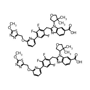 COc1nnc(COc2cccc(-c3cc(F)c(Cc4nc5ccc(C(=O)O)cc5n4C4COCC4(C)C)c(F)c3F)n2)s1.COc1nnc(COc2cccc(-c3cc(F)c(Cc4nc5ccc(C(=O)O)cc5n4C4COCC4(C)C)c(F)c3F)n2)s1